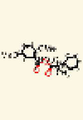 COc1ccc(OC)c(C(=O)OC(=O)C(C)(C(=O)O)C2C=CCCC2)c1